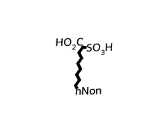 CCCCCCCCCCCCCCCCC(C(=O)O)S(=O)(=O)O